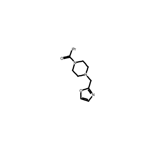 CC(C)C(=O)N1CCN(Cc2ncco2)CC1